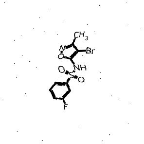 Cc1noc(NS(=O)(=O)c2cccc(F)c2)c1Br